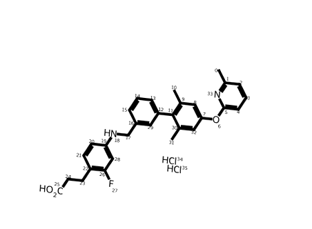 Cc1cccc(Oc2cc(C)c(-c3cccc(CNc4ccc(CCC(=O)O)c(F)c4)c3)c(C)c2)n1.Cl.Cl